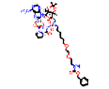 CC(C)(C)OC(=O)N1CCC[C@H]1C(=O)NS(=O)(=O)N(CCCCCCOCCOCCNC(=O)OCc1ccccc1)C[C@H]1O[C@@H](n2cnc3c(N)ncnc32)[C@@H]2OC(C)(C)O[C@@H]21